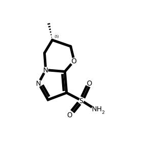 C[C@@H]1COc2c(S(N)(=O)=O)cnn2C1